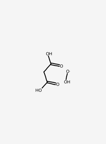 O=C(O)CC(=O)O.[O]O